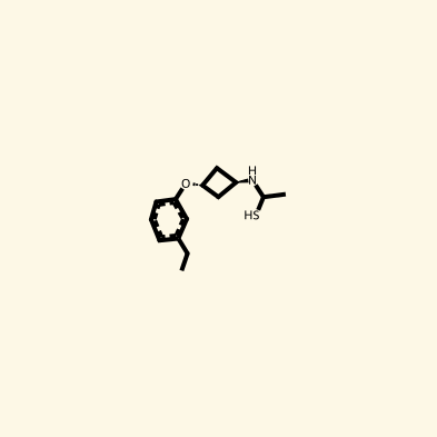 CCc1cccc(O[C@H]2C[C@H](NC(C)S)C2)c1